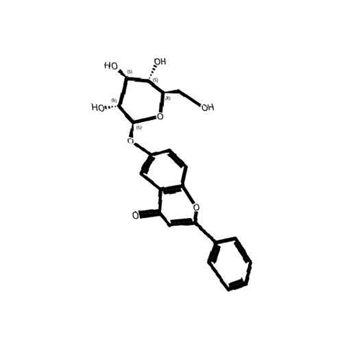 O=c1cc(-c2ccccc2)oc2ccc(O[C@@H]3O[C@H](CO)[C@@H](O)[C@H](O)[C@H]3O)cc12